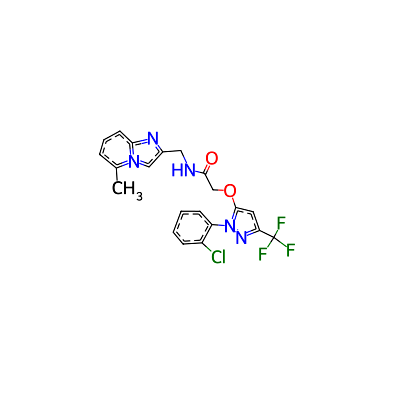 Cc1cccc2nc(CNC(=O)COc3cc(C(F)(F)F)nn3-c3ccccc3Cl)cn12